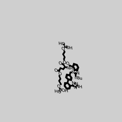 CCCCc1nc2cccc(C(=O)NC(CCC(=O)OCCCCON(O)O)C(=O)OCCCCON(O)O)c2n1Cc1ccc(-c2ccccc2-c2nn[nH]n2)cc1